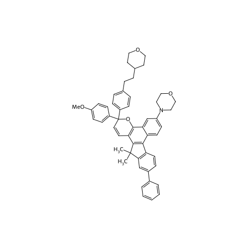 COc1ccc(C2(c3ccc(CCC4CCOCC4)cc3)C=Cc3c4c(c5ccc(N6CCOCC6)cc5c3O2)-c2ccc(-c3ccccc3)cc2C4(C)C)cc1